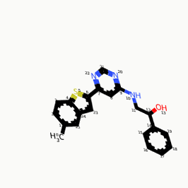 Cc1ccc2sc(-c3cc(NCC(O)c4ccccc4)ncn3)cc2c1